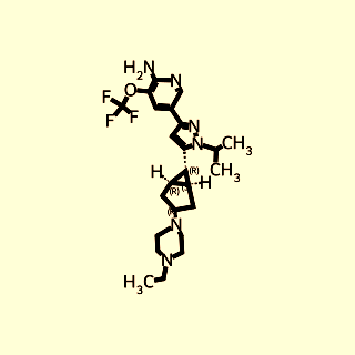 CCN1CCN([C@H]2C[C@@H]3[C@H](C2)[C@H]3c2cc(-c3cnc(N)c(OC(F)(F)F)c3)nn2C(C)C)CC1